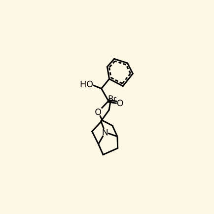 O=C(OC1CC2CCC(C1)N2CCBr)C(O)c1ccccc1